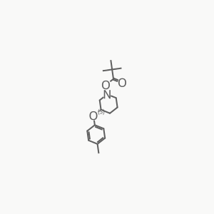 Cc1ccc(O[C@H]2CCCN(OC(=O)C(C)(C)C)C2)cc1